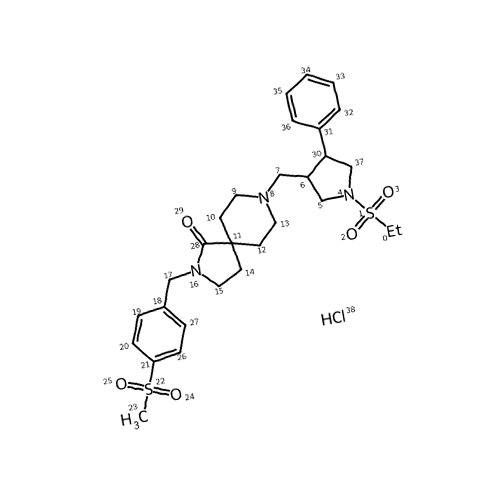 CCS(=O)(=O)N1CC(CN2CCC3(CC2)CCN(Cc2ccc(S(C)(=O)=O)cc2)C3=O)C(c2ccccc2)C1.Cl